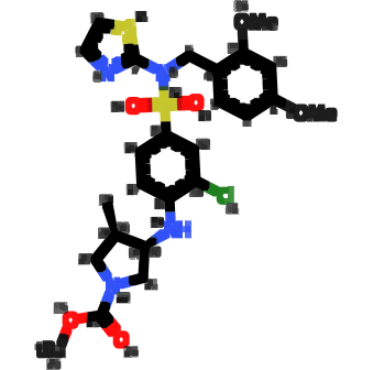 COc1ccc(CN(c2nccs2)S(=O)(=O)c2ccc(N[C@H]3CN(C(=O)OC(C)(C)C)C[C@H]3C)c(Cl)c2)c(OC)c1